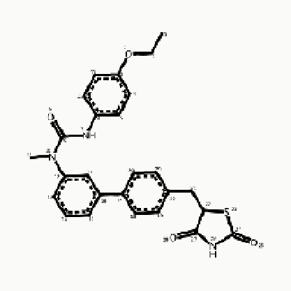 CCOc1ccc(NC(=O)N(C)c2cccc(-c3ccc(CC4SC(=O)NC4=O)cc3)c2)cc1